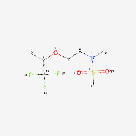 CC(OCCN(C)S(C)(=O)=O)C(F)(F)F